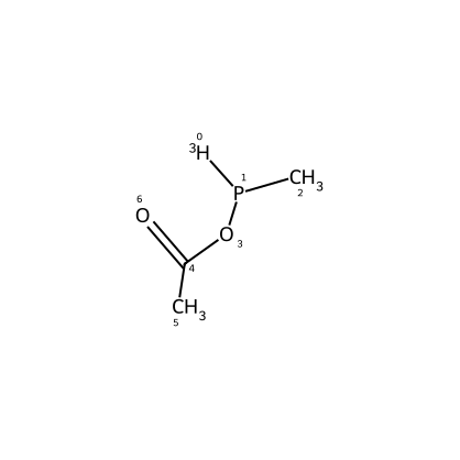 [3H]P(C)OC(C)=O